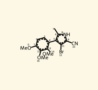 COc1ccc(-c2c(C)[nH]c(C#N)c2Br)c(OC)c1OC